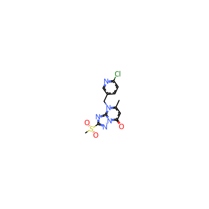 Cc1cc(=O)n2nc(S(C)(=O)=O)nc2n1Cc1ccc(Cl)nc1